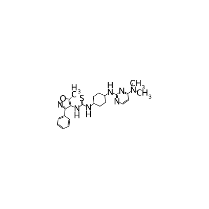 Cc1onc(-c2ccccc2)c1NC(=S)NC1CCC(Nc2nccc(N(C)C)n2)CC1